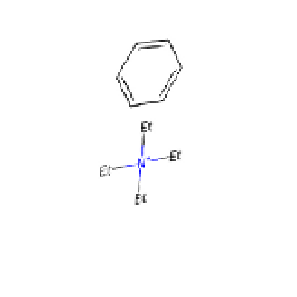 CC[N+](CC)(CC)CC.c1ccccc1